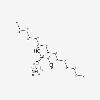 CCCCCCCCCCCCCCC.N.N.O=C(O)CCl